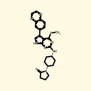 COc1nc(N[C@H]2CC[C@@H](N3CCCC3=O)CC2)nc2[nH]cc(-c3ccc4nccnc4c3)c12